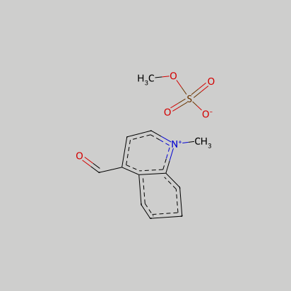 COS(=O)(=O)[O-].C[n+]1ccc(C=O)c2ccccc21